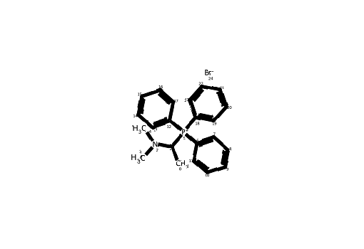 CC(N(C)C)[P+](c1ccccc1)(c1ccccc1)c1ccccc1.[Br-]